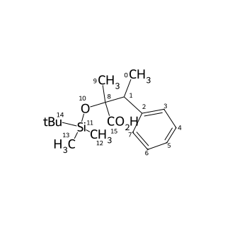 CC(c1ccccc1)C(C)(O[Si](C)(C)C(C)(C)C)C(=O)O